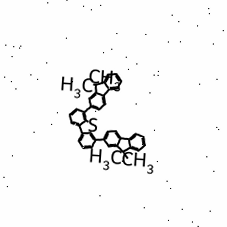 CC1(C)c2ccccc2-c2ccc(-c3cccc4c3sc3c(-c5ccc6c(c5)C(C)(C)c5ccccc5-6)cccc34)cc21